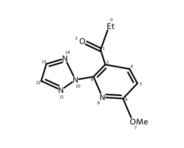 CCC(=O)c1ccc(OC)nc1-n1nccn1